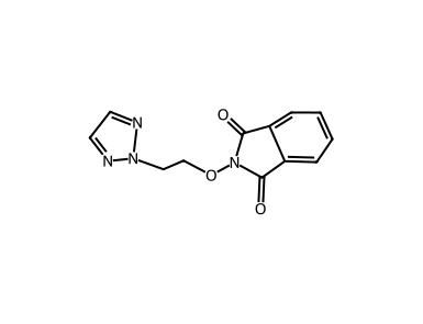 O=C1c2ccccc2C(=O)N1OCCn1nccn1